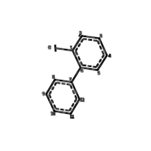 Ic1[c]cccc1-c1ccccc1